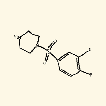 O=S(=O)(c1ccc(F)c(F)c1)N1CCNCC1